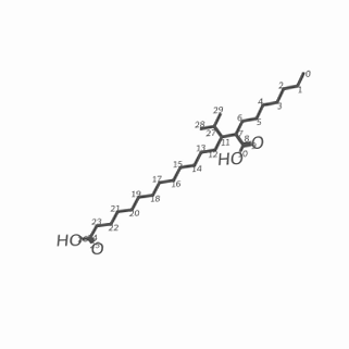 CCCCCCCC(C(=O)O)C(CCCCCCCCCCCCC(=O)O)C(C)C